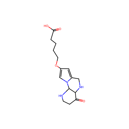 O=C(O)CCCCOc1cc2n(c1)C1NCCC(=O)C1NC2